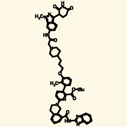 Cc1c(OCCCC2CCN(CC(=O)Nc3ccc4c(C5CCC(=O)NC5=O)nn(C)c4c3)CC2)cccc1-c1ccc(N2CCc3cccc(C(=O)Nc4nc5ccccc5s4)c3C2)nc1C(=O)OC(C)(C)C